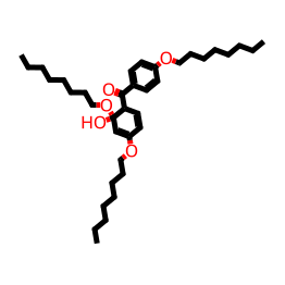 CCCCCCCCOC1=CC(O)(OCCCCCCCC)C(C(=O)c2ccc(OCCCCCCCC)cc2)C=C1